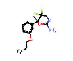 C[C@]1(c2cccc(OCCC(F)(F)F)c2)OC(N)=NCC1(F)F